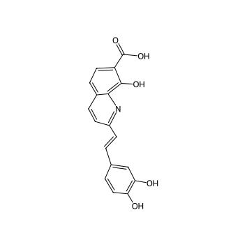 O=C(O)c1ccc2ccc(C=Cc3ccc(O)c(O)c3)nc2c1O